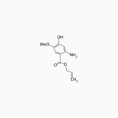 C=CCOC(=O)c1cc(OC)c(O)cc1N